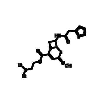 CCN(CC)CCOC(=O)C1=CC(=O)SC2C(NC(=O)Cc3cccs3)CN12.Cl